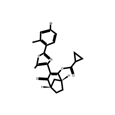 Cc1cc(Br)ccc1-c1nc(C2=C(OC(=O)C3CC3)[C@@H]3CC[C@@H](C3)C2=O)c(C)s1